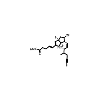 CC#CCC(C)[C@H](O)/C=C\[C@H]1[C@H]2CC(C=CCCC(=O)OC)=C[C@H]2C[C@H]1O